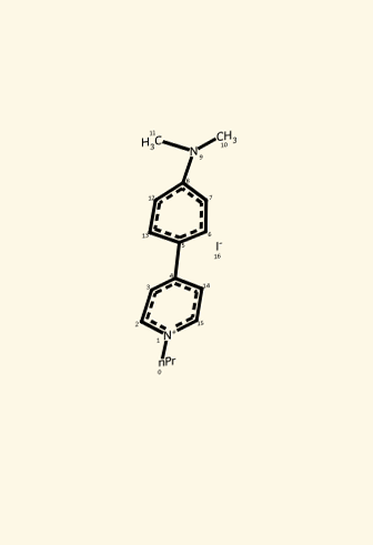 CCC[n+]1ccc(-c2ccc(N(C)C)cc2)cc1.[I-]